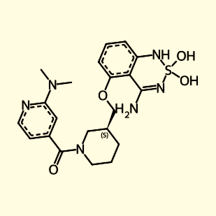 CN(C)c1cc(C(=O)N2CCC[C@H](COc3cccc4c3C(N)=NS(O)(O)N4)C2)ccn1